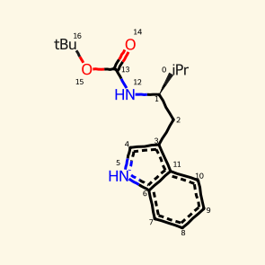 CC(C)[C@@H](Cc1c[nH]c2ccccc12)NC(=O)OC(C)(C)C